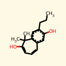 CCCc1cc2c(cc1O)C=CC=C(O)C2(C)C